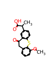 COc1cccc2c1Sc1ccc(C(C)C(=O)O)cc1C(=O)C2